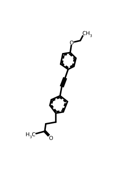 CCOc1ccc(C#Cc2ccc(CCC(C)=O)cc2)cc1